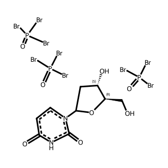 O=P(Br)(Br)Br.O=P(Br)(Br)Br.O=P(Br)(Br)Br.O=c1ccn(C2C[C@H](O)[C@@H](CO)O2)c(=O)[nH]1